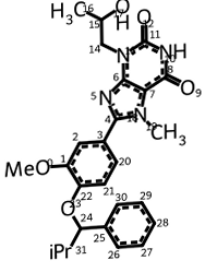 COc1cc(-c2nc3c(c(=O)[nH]c(=O)n3CC(C)O)n2C)ccc1OC(c1ccccc1)C(C)C